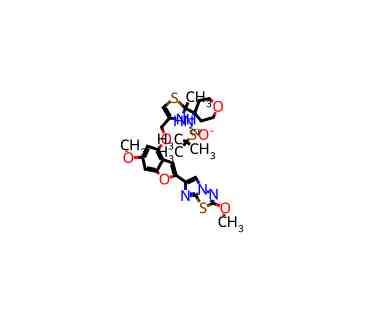 COc1cc(OCC2=CSC(C)(C3(N[S@+]([O-])C(C)(C)C)CCOCC3)N2)c2cc(-c3cn4nc(OC)sc4n3)oc2c1